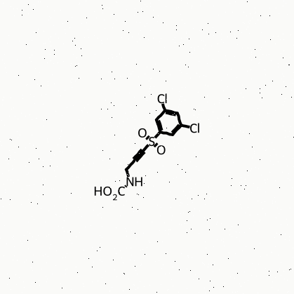 O=C(O)NCC#CS(=O)(=O)c1cc(Cl)cc(Cl)c1